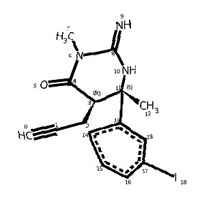 C#CC[C@H]1C(=O)N(C)C(=N)N[C@]1(C)c1cccc(I)c1